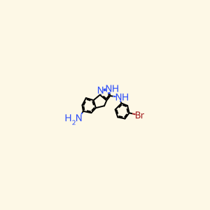 Nc1ccc2c(c1)Cc1c-2n[nH]c1Nc1cccc(Br)c1